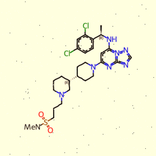 CNS(=O)(=O)CCCN1CCC[C@H](C2CCN(c3cc(N[C@H](C)c4ccc(Cl)cc4Cl)n4ncnc4n3)CC2)C1